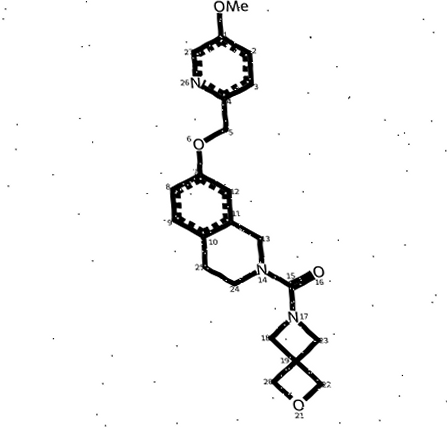 COc1ccc(COc2ccc3c(c2)CN(C(=O)N2CC4(COC4)C2)CC3)nc1